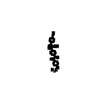 COC1CCC(NC(=O)c2ccc(-n3ncc(-c4ccc(C#N)cc4)c3O)nc2)CC1